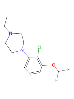 CCN1CCN(c2cccc(OC(F)F)c2Cl)CC1